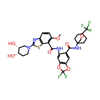 COc1ccc2nc(N3CC[C@H](O)[C@H](O)C3)sc2c1C(=O)Nc1cc2c(cc1C(=O)NC13CCC(C(F)(F)F)(CC1)OC3)OC(F)(F)O2